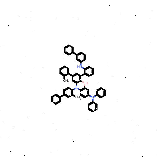 Cc1ccccc1-c1cc(-c2ccccc2Nc2cccc(-c3ccccc3)c2)c2c(c1)N(c1ccc(-c3ccccc3)cc1C)c1ccc(N(c3ccccc3)c3ccccc3)cc1B2